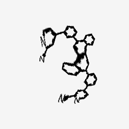 N#Cc1cc(-c2cccc(-c3cc4c5ccccc5c(-c5cccc(-c6ccnc(C#N)c6)c5)cc4c4ccccc34)c2)ccn1